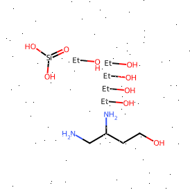 CCO.CCO.CCO.CCO.CCO.NCC(N)CCO.O=[Si](O)O